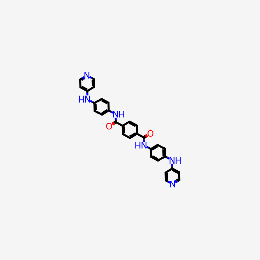 O=C(Nc1ccc(Nc2ccncc2)cc1)c1ccc(C(=O)Nc2ccc(Nc3ccncc3)cc2)cc1